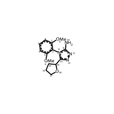 COc1cccc(OC)c1-n1c(N)nnc1C1CCCO1